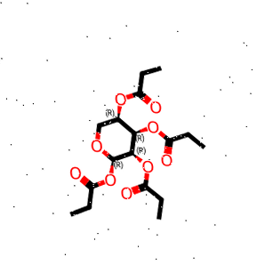 CCC(=O)O[C@H]1OC[C@@H](OC(=O)CC)[C@@H](OC(=O)CC)[C@H]1OC(=O)CC